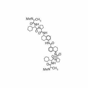 CNC(C)C(=O)NC(C(=O)N1CCCC1C(=O)NC1CCCc2c(NC(=O)c3cccc4c3CCC[C@H]4NC(=O)C3CCCN3C(=O)C(NC(=O)C(C)NC)C3CCCCC3)cccc21)C1CCCCC1